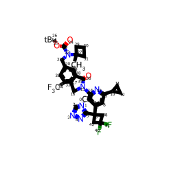 Cn1cnnc1C1(c2cc(C3CC3)nc(N3Cc4c(cc(CN(C(=O)OC(C)(C)C)C5(C)CCC5)cc4C(F)(F)F)C3=O)c2)CC(F)(F)C1